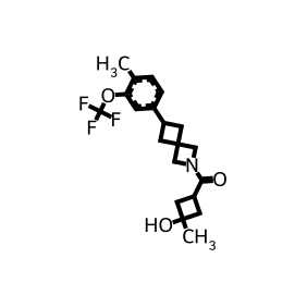 Cc1ccc(C2CC3(C2)CN(C(=O)C2CC(C)(O)C2)C3)cc1OC(F)(F)F